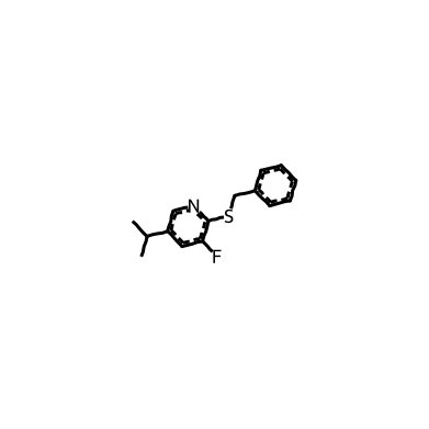 CC(C)c1cnc(SCc2ccccc2)c(F)c1